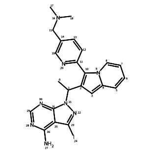 CC(c1cc2ccccn2c1-c1ccc(CN(C)C)cn1)n1nc(I)c2c(N)ncnc21